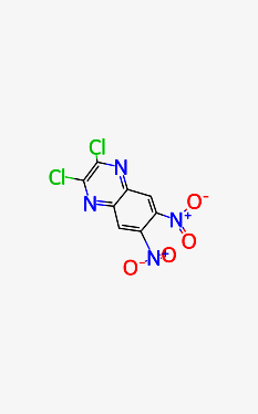 O=[N+]([O-])c1cc2nc(Cl)c(Cl)nc2cc1[N+](=O)[O-]